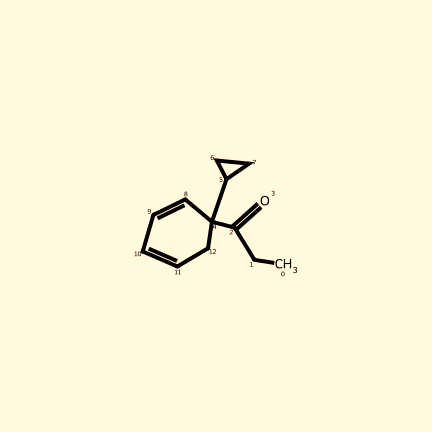 CCC(=O)C1(C2CC2)C=CC=CC1